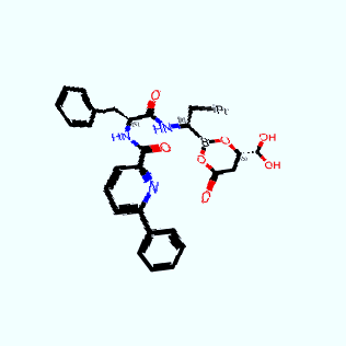 CC(C)C[C@H](NC(=O)[C@H](Cc1ccccc1)NC(=O)c1cccc(-c2ccccc2)n1)B1OC(=O)C[C@@H](C(O)O)O1